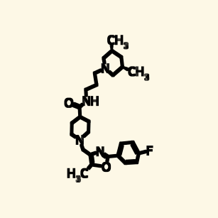 Cc1oc(-c2ccc(F)cc2)nc1CN1CCC(C(=O)NCCCN2C[C@H](C)C[C@H](C)C2)CC1